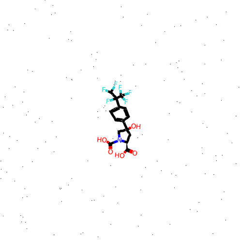 O=C(O)[C@@H]1CC(O)(c2ccc(C(F)(C(F)F)C(F)(F)F)cc2)CN1C(=O)O